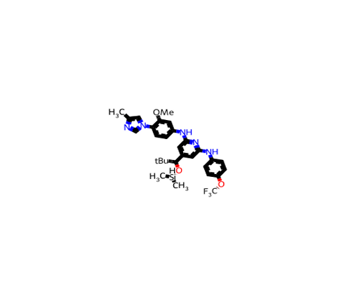 COc1cc(Nc2cc(C(O[SiH](C)C)C(C)(C)C)cc(Nc3ccc(OC(F)(F)F)cc3)n2)ccc1-n1cnc(C)c1